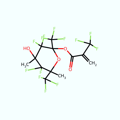 C=C(C(=O)OC1(C(F)(F)F)OC(C)(C(F)(F)F)C(F)(F)C(C)(O)C1(F)F)C(F)(F)F